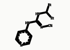 CCC(CC)NC(=NC#N)Nc1ccncc1